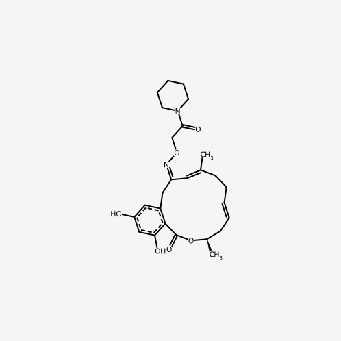 C/C1=C\C(=N/OCC(=O)N2CCCCC2)Cc2cc(O)cc(O)c2C(=O)O[C@H](C)C/C=C/CC1